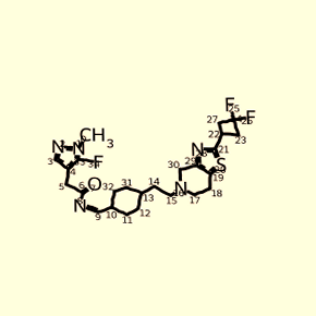 Cn1ncc(CC(=O)/N=C\C2CCC(CCN3CCc4sc(C5CC(F)(F)C5)nc4C3)CC2)c1F